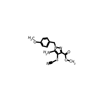 COC(=O)c1nn(Cc2ccc(OC)cc2)c(N)c1SC#N